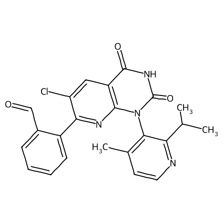 Cc1ccnc(C(C)C)c1-n1c(=O)[nH]c(=O)c2cc(Cl)c(-c3ccccc3C=O)nc21